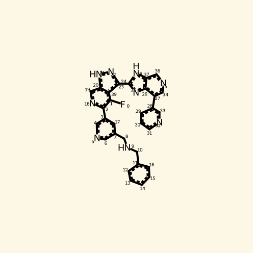 Fc1c(-c2cncc(CNCc3ccccc3)c2)ncc2[nH]nc(-c3nc4c(-c5cccnc5)cncc4[nH]3)c12